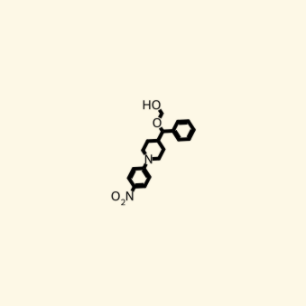 O=[N+]([O-])c1ccc(N2CCC(C(OCO)c3ccccc3)CC2)cc1